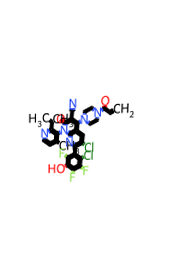 C=CC(=O)N1CCN(c2c(C#N)c(=O)n(-c3c(C)ccnc3C(C)C)c3nc(-c4c(F)c(O)c(F)c(F)c4Cl)c(Cl)cc23)CC1